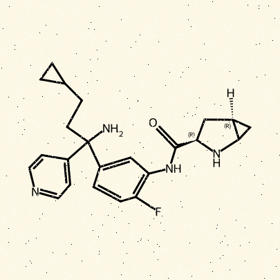 NC(CCC1CC1)(c1ccncc1)c1ccc(F)c(NC(=O)[C@H]2C[C@H]3CC3N2)c1